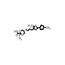 Cc1ccc(-c2nc(CCCC[C@H]3CO[C@@](C)(C(=O)O)OC3)c(C)s2)cc1